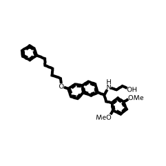 COc1ccc(OC)c(CC(NCCO)c2ccc3cc(OCCCCCc4ccccc4)ccc3c2)c1